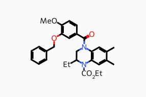 CCOC(=O)N1c2cc(C)c(C)cc2N(C(=O)c2ccc(OC)c(OCc3ccccc3)c2)CC1CC